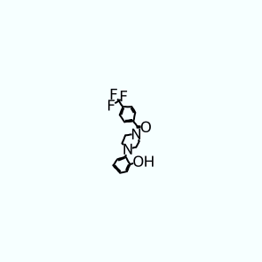 O=C(c1ccc(C(F)(F)F)cc1)N1CCN(c2ccccc2O)CC1